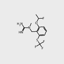 CC(F)Oc1cccc(SC(F)(F)F)c1CN(C)C(=N)N